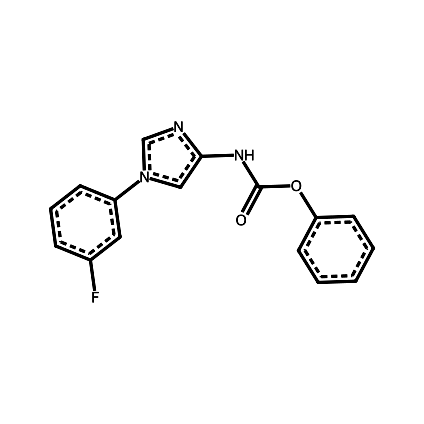 O=C(Nc1cn(-c2cccc(F)c2)cn1)Oc1ccccc1